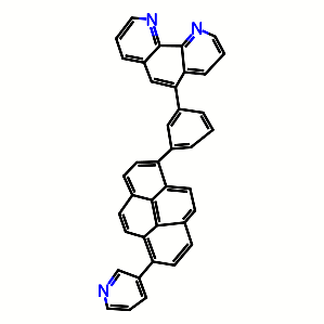 c1cncc(-c2ccc3ccc4c(-c5cccc(-c6cc7cccnc7c7ncccc67)c5)ccc5ccc2c3c54)c1